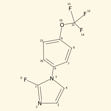 Fc1n[c]cn1-c1ccc(OC(F)(F)F)cc1